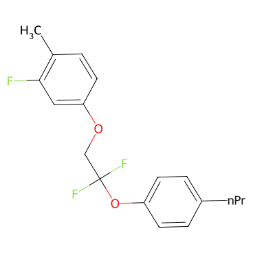 CCCc1ccc(OC(F)(F)COc2ccc(C)c(F)c2)cc1